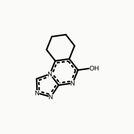 Oc1nc2nncn2c2c1CCCC2